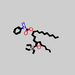 CCCCCCCCCC(CCCc1cc(CCCC)oc1[Si](CC)(CC)CC)OC(=O)Nc1ccccc1